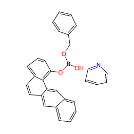 OB(OCc1ccccc1)Oc1cccc2ccc3cc4ccccc4cc3c12.c1ccncc1